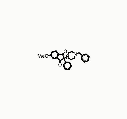 COc1ccc2c(c1)C(=O)C(c1ccccc1)(N1CCN(Cc3ccccc3)CC1)C2=O